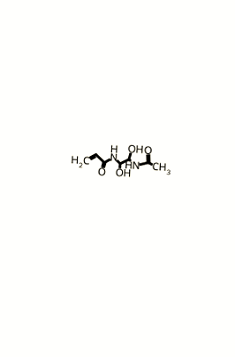 C=CC(=O)NC(O)C(O)NC(C)=O